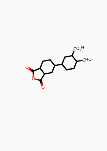 O=CC1CCC(C2CCC3C(=O)OC(=O)C3C2)CC1C(=O)O